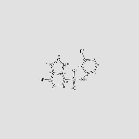 O=S(=O)(Nc1cccc(F)c1)c1ccc(F)c2nonc12